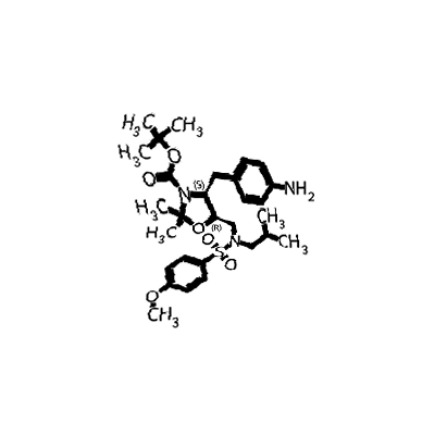 COc1ccc(S(=O)(=O)N(CC(C)C)C[C@H]2OC(C)(C)N(C(=O)OC(C)(C)C)[C@H]2Cc2ccc(N)cc2)cc1